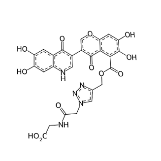 O=C(O)CNC(=O)Cn1cc(COC(=O)c2c(O)c(O)cc3occ(-c4c[nH]c5cc(O)c(O)cc5c4=O)c(=O)c23)nn1